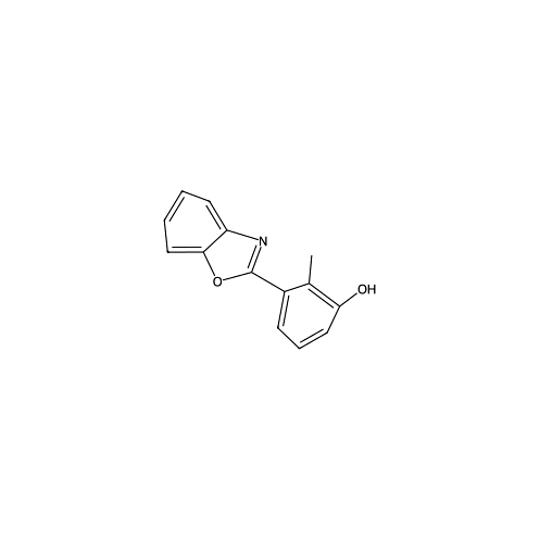 Cc1c(O)cccc1-c1nc2ccccc2o1